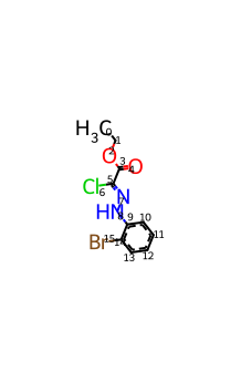 CCOC(=O)C(Cl)=NNc1ccccc1Br